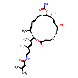 CC(C)=CC(=O)N/C=C/C(C)=C/[C@@H](C)[C@H]1C/C(C)=C/C=C/CC[C@@H](OC(N)=O)[C@H](O)/C=C/[C@H](O)CCC/C=C/C(=O)O1